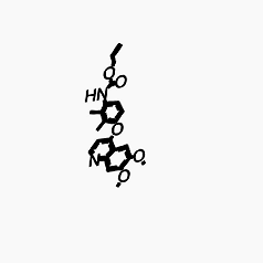 C=CCOC(=O)Nc1ccc(Oc2ccnc3cc(OC)c(OC)cc23)c(C)c1C